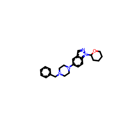 c1ccc(CN2CCN(c3ccc4c(cnn4C4CCCCO4)c3)CC2)cc1